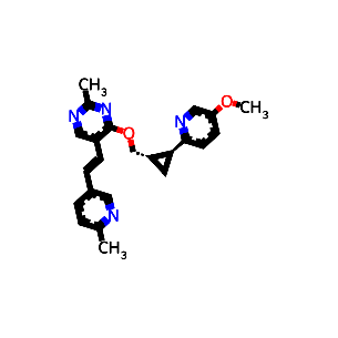 COc1ccc([C@H]2C[C@@H]2COc2nc(C)ncc2C=Cc2ccc(C)nc2)nc1